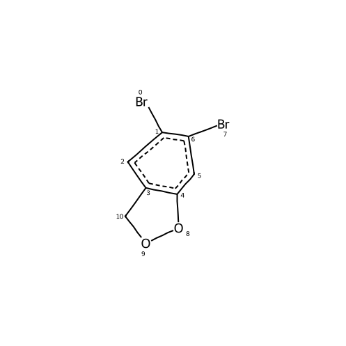 Brc1cc2c(cc1Br)OOC2